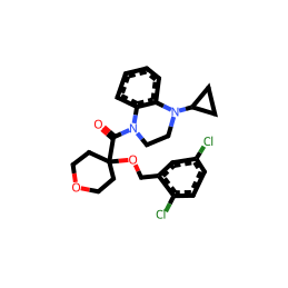 O=C(N1CCN(C2CC2)c2ccccc21)C1(OCc2cc(Cl)ccc2Cl)CCOCC1